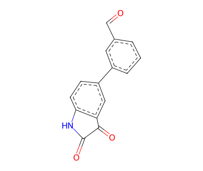 O=Cc1cccc(-c2ccc3c(c2)C(=O)C(=O)N3)c1